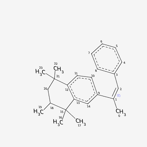 C/C(=C/c1ccccc1)c1ccc2c(c1)C(C)(C)C(C)CC2(C)C